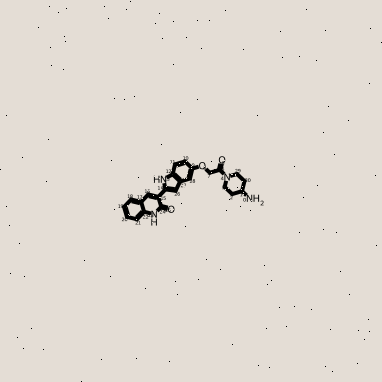 NC1CCN(C(=O)COc2ccc3[nH]c(-c4cc5ccccc5[nH]c4=O)cc3c2)CC1